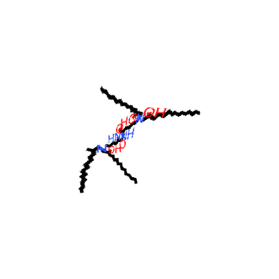 CCCCCCCCCCCCCC(C)CN(CCCCC1NC(=O)C(CCCCN(CC(O)CCCCCCCCCCCCC)CC(O)CCCCCCCCCCCCC)NC1=O)CC(O)CCCCCCCCCCCCC